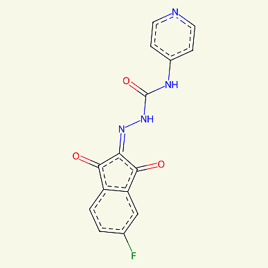 O=C(NN=c1c(=O)c2ccc(F)cc2c1=O)Nc1ccncc1